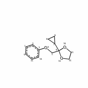 c1ccc(OCC2(C3CC3)OCCO2)cc1